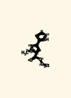 CCOOC(=O)c1cc(-c2ccn[nH]2)nn1C